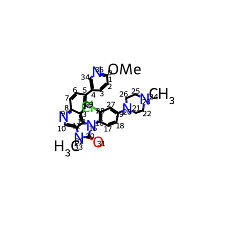 COc1ccc(-c2ccc3ncc4c(c3c2)n(-c2ccc(N3CCN(C)CC3)cc2Cl)c(=O)n4C)cn1